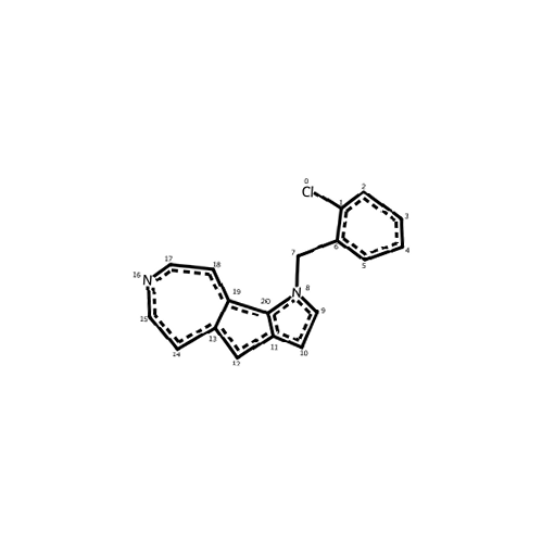 Clc1ccccc1Cn1ccc2cc3ccnccc-3c21